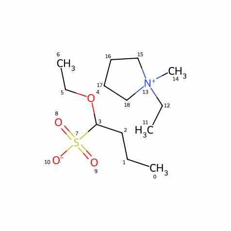 CCCC(OCC)S(=O)(=O)[O-].CC[N+]1(C)CCCC1